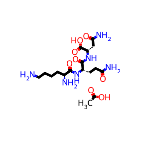 CC(=O)O.NCCCC[C@H](N)C(=O)N[C@@H](CCC(N)=O)C(=O)N[C@@H](CC(N)=O)C(=O)O